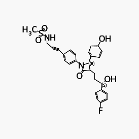 CS(=O)(=O)NCC#Cc1ccc(N2C(=O)C(CC[C@H](O)c3ccc(F)cc3)[C@@H]2c2ccc(O)cc2)cc1